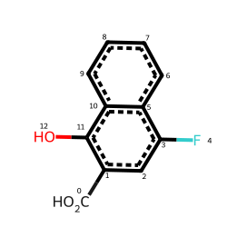 O=C(O)c1cc(F)c2ccccc2c1O